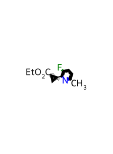 CCOC(=O)[C@H]1C[C@@H]1c1nc(C)ccc1F